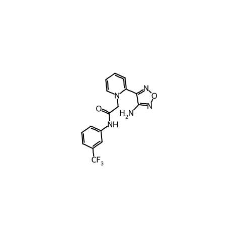 Nc1nonc1C1=C=CC=CN1CC(=O)Nc1cccc(C(F)(F)F)c1